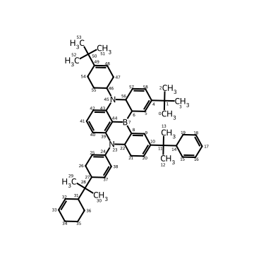 CC(C)(C)C1=CC2B3C4=CC(C(C)(C)C5C=CC=CC5)=CCC4N(C4=CCC(C(C)(C)C5C=CCCC5)C=C4)c4cccc(c43)N(C3CC=C(C(C)(C)C)CC3)C2C=C1